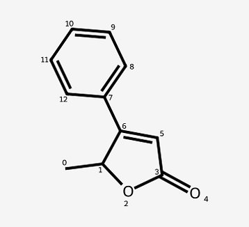 CC1OC(=O)C=C1c1ccccc1